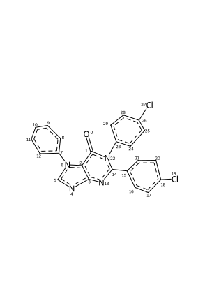 O=c1c2c(ncn2-c2ccccc2)nc(-c2ccc(Cl)cc2)n1-c1ccc(Cl)cc1